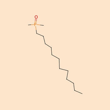 CCCCCCCCCCCCP(C)(C)=O